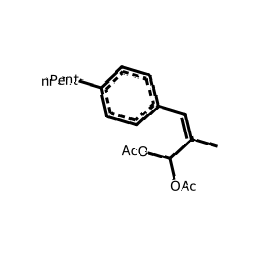 CCCCCc1ccc(C=C(C)C(OC(C)=O)OC(C)=O)cc1